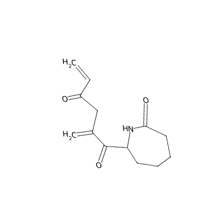 C=CC(=O)CC(=C)C(=O)C1CCCCC(=O)N1